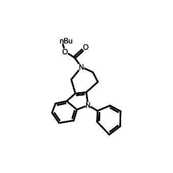 CCCCOC(=O)N1CCc2c(c3ccccc3n2-c2ccccc2)C1